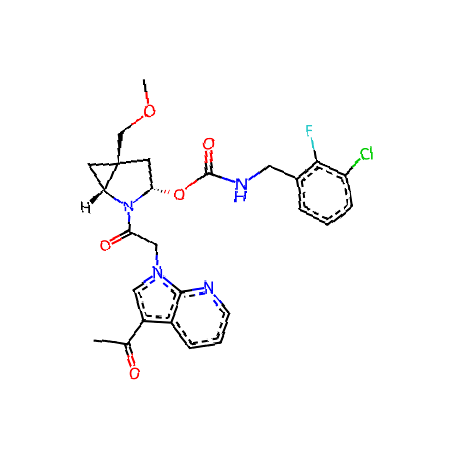 COC[C@@]12C[C@H](OC(=O)NCc3cccc(Cl)c3F)N(C(=O)Cn3cc(C(C)=O)c4cccnc43)[C@@H]1C2